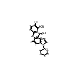 N#Cc1cc(Oc2c(F)cc3c(ncn3C3CCCCO3)c2CO)ccc1F